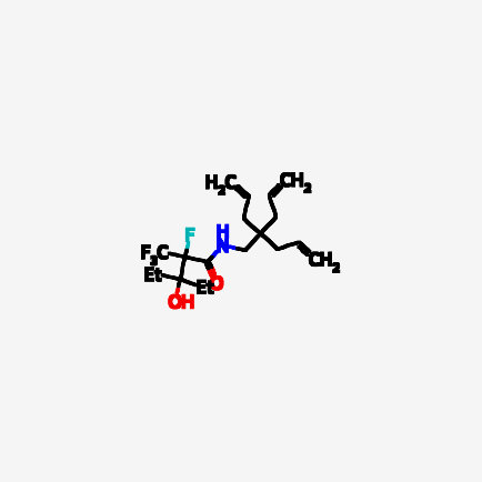 C=CCC(CC=C)(CC=C)CNC(=O)C(F)(C(F)(F)F)C(O)(CC)CC